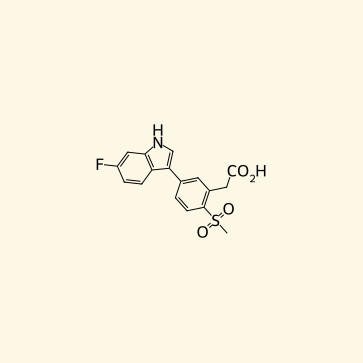 CS(=O)(=O)c1ccc(-c2c[nH]c3cc(F)ccc23)cc1CC(=O)O